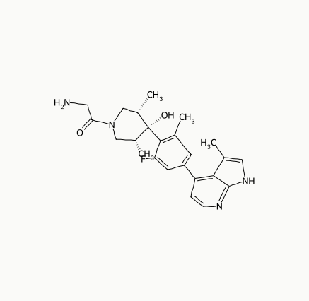 Cc1cc(-c2ccnc3[nH]cc(C)c23)cc(F)c1[C@@]1(O)[C@H](C)CN(C(=O)CN)C[C@@H]1C